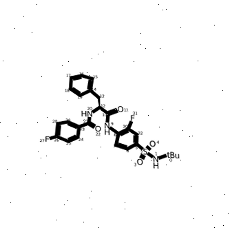 CC(C)(C)NS(=O)(=O)c1ccc(NC(=O)[C@H](Cc2ccccc2)NC(=O)c2ccc(F)cc2)c(F)c1